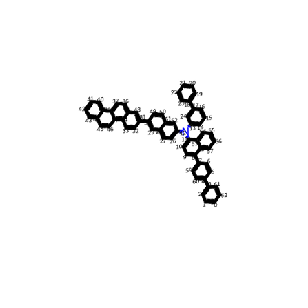 c1ccc(-c2ccc(-c3ccc(N(c4cccc(-c5ccccc5)c4)c4ccc5cc(-c6ccc7c(ccc8c9ccccc9ccc78)c6)ccc5c4)c4ccccc34)cc2)cc1